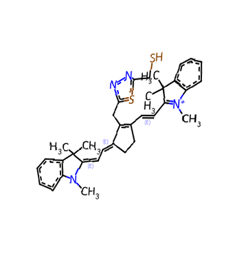 CN1/C(=C/C=C2\CCC(/C=C/C3=[N+](C)c4ccccc4C3(C)C)=C2Cc2nnc(CS)s2)C(C)(C)c2ccccc21